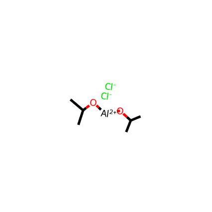 CC(C)[O][Al+2][O]C(C)C.[Cl-].[Cl-]